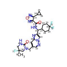 CC1(F)CNC(=O)N(Cc2cnn3cc(C(NC(=O)c4nonc4C4CC4)C4CCC(F)(F)CC4)nc3c2)C1